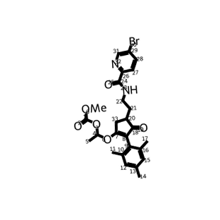 COC(=O)OC(C)OC1=C(c2c(C)cc(C)cc2C)C(=O)C(CCNC(=O)c2ccc(Br)cn2)C1